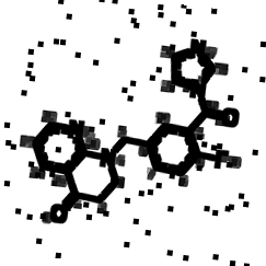 O=C1CCN(Cc2ccc(F)c(C(=O)n3ccnc3)c2)c2ncccc21